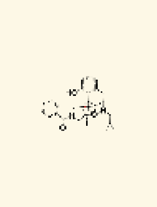 O=C(c1ccccc1)N1C[C@H]2OC34CCC1C2C31CCN(CC2CC2)C4Cc2cccc(O)c21